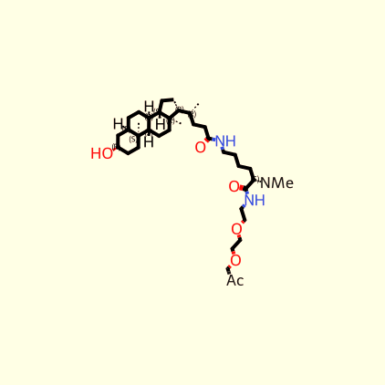 CN[C@@H](CCCCNC(=O)CC[C@@H](C)[C@H]1CC[C@H]2[C@@H]3CC[C@@H]4C[C@H](O)CC[C@]4(C)[C@H]3CC[C@]12C)C(=O)NCCOCCOCC(C)=O